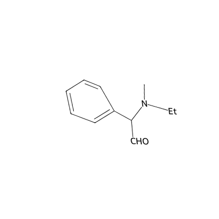 CCN(C)C(C=O)c1ccccc1